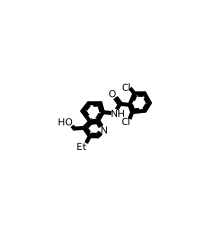 CCc1cnc2c(NC(=O)c3c(Cl)cccc3Cl)cccc2c1CO